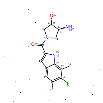 Cc1cc2cc(C(=O)N3C[C@@H](O)[C@@H](N)C3)[nH]c2c(C)c1F